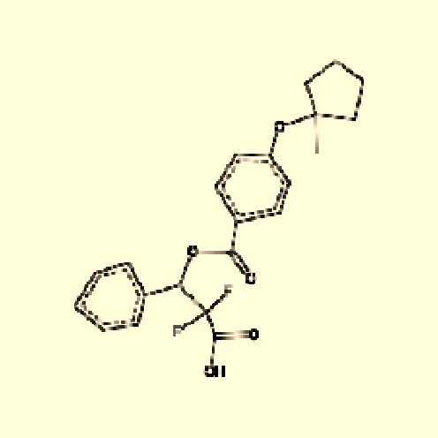 CC1(Oc2ccc(C(=O)OC(c3ccccc3)C(F)(F)C(=O)O)cc2)CCCC1